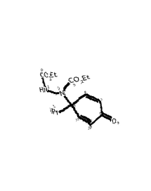 CCOC(=O)NN(C(=O)OCC)C1(C(C)C)C=CC(=O)C=C1